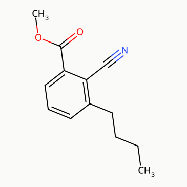 CCCCc1cccc(C(=O)OC)c1C#N